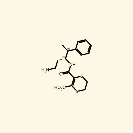 C[C@@H](c1ccccc1)[C@@H](CCN)NC(=O)C1=C(C(=O)O)SCCS1